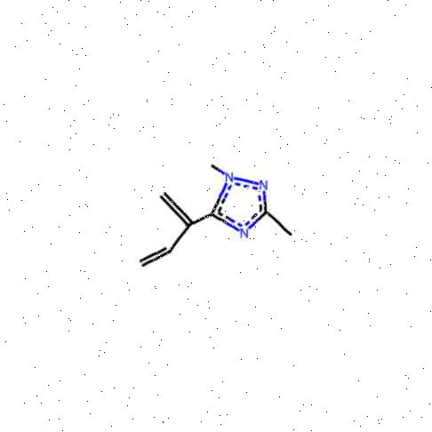 C=CC(=C)c1nc(C)nn1C